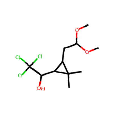 COC(CC1C(C(O)C(Cl)(Cl)Cl)C1(C)C)OC